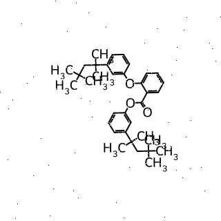 CC(C)(C)CC(C)(C)c1cccc(OC(=O)c2ccccc2Oc2cccc(C(C)(C)CC(C)(C)C)c2)c1